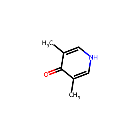 Cc1c[nH]cc(C)c1=O